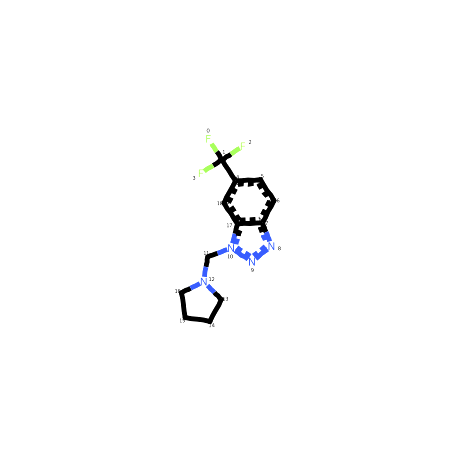 FC(F)(F)c1ccc2nnn(CN3CCCC3)c2c1